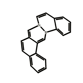 C1=CN2C=c3ccc4ccccc4c3=CB2c2ccccc21